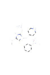 CNCc1nc(C(C)C)c(Sc2cccc([N+](=O)[O-])c2)n1Cc1ccncc1